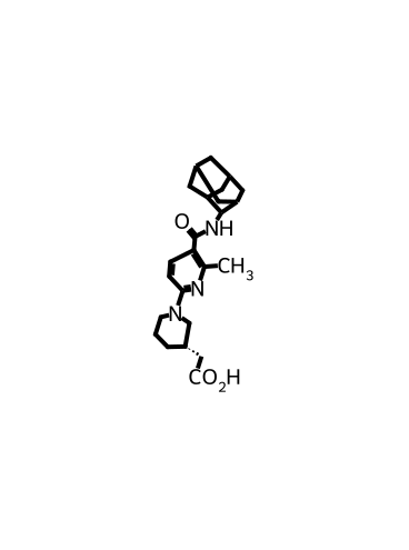 Cc1nc(N2CCC[C@@H](CC(=O)O)C2)ccc1C(=O)NC1C2CC3CC(C2)CC1C3